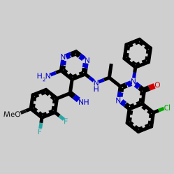 COc1ccc(C(=N)c2c(N)ncnc2NC(C)c2nc3cccc(Cl)c3c(=O)n2-c2ccccc2)c(F)c1F